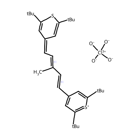 CC(/C=C/c1cc(C(C)(C)C)[s+]c(C(C)(C)C)c1)=C\C=C1C=C(C(C)(C)C)SC(C(C)(C)C)=C1.[O-][Cl+3]([O-])([O-])[O-]